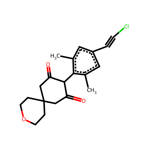 Cc1cc(C#CCl)cc(C)c1C1C(=O)CC2(CCOCC2)CC1=O